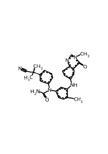 Cc1ccc(N(C(N)=O)c2cccc(C(C)(C)C#N)c2)cc1Nc1ccc2ncn(C)c(=O)c2c1